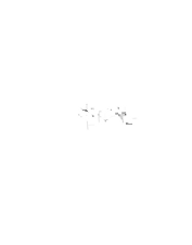 C[C@@H](N[S@+]([O-])C(C)(C)C)c1cc2cnn(CC(F)(F)F)c2cn1